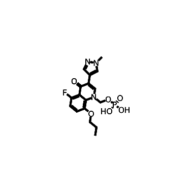 CCCOc1ccc(F)c2c(=O)c(-c3cnn(C)c3)cn(COP(=O)(O)O)c12